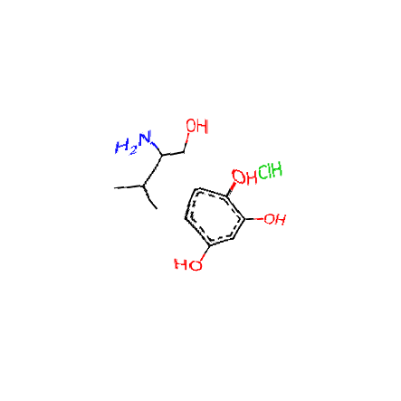 CC(C)C(N)CO.Cl.Oc1ccc(O)c(O)c1